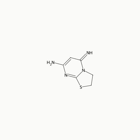 N=c1cc(N)nc2n1CCS2